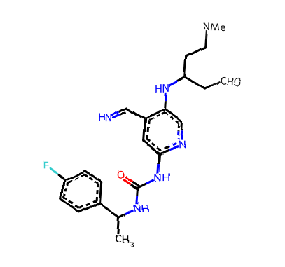 CNCCC(CC=O)Nc1cnc(NC(=O)NC(C)c2ccc(F)cc2)cc1C=N